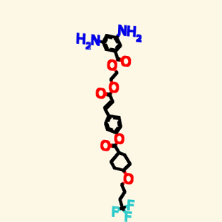 Nc1cc(N)cc(C(=O)OCCOC(=O)/C=C/c2ccc(OC(=O)C3CCC(OCCCC(F)(F)F)CC3)cc2)c1